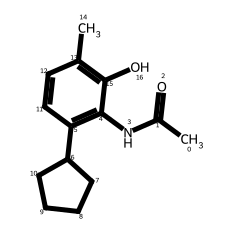 CC(=O)Nc1c(C2CCCC2)ccc(C)c1O